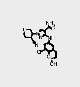 N#CC1CCOCC1n1cc(C(N)=O)c(Nc2cc(Cl)c3c(c2)C=CB(O)O3)n1